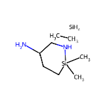 CC.C[Si]1(C)CCC(N)CN1.[SiH4]